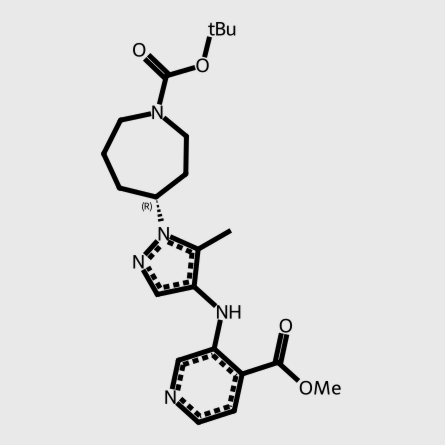 COC(=O)c1ccncc1Nc1cnn([C@@H]2CCCN(C(=O)OC(C)(C)C)CC2)c1C